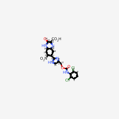 O=C(Nc1c(Cl)cccc1Cl)OCc1c[nH]c(-c2cc3nc(C(=O)O)c(=O)[nH]c3cc2[N+](=O)[O-])n1